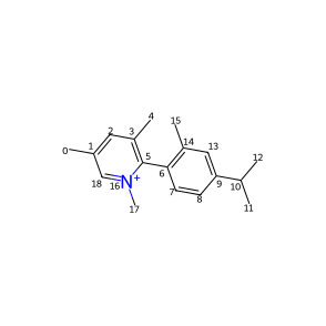 Cc1cc(C)c(-c2ccc(C(C)C)cc2C)[n+](C)c1